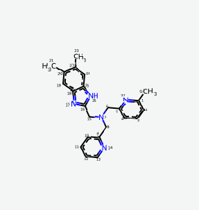 Cc1cccc(CN(Cc2ccccn2)Cc2nc3cc(C)c(C)cc3[nH]2)n1